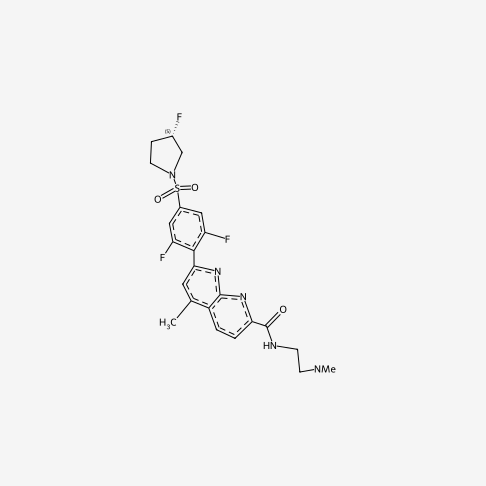 CNCCNC(=O)c1ccc2c(C)cc(-c3c(F)cc(S(=O)(=O)N4CC[C@H](F)C4)cc3F)nc2n1